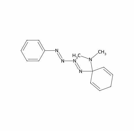 CN(C)C1(/N=N/N=N/c2ccccc2)C=CCC=C1